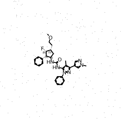 COCC[C@@H]1C[C@@H](NC(=O)Nc2c(C)c(-c3cnn(C)c3)nn2-c2ccccc2)[C@H](c2ccccc2)[C@@H]1F